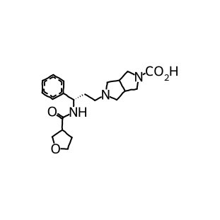 O=C(N[C@@H](CCN1CC2CN(C(=O)O)CC2C1)c1ccccc1)C1CCOC1